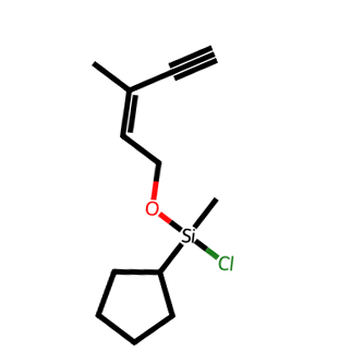 C#CC(C)=CCO[Si](C)(Cl)C1CCCC1